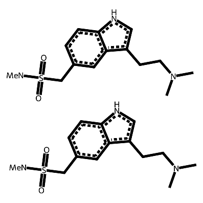 CNS(=O)(=O)Cc1ccc2[nH]cc(CCN(C)C)c2c1.CNS(=O)(=O)Cc1ccc2[nH]cc(CCN(C)C)c2c1